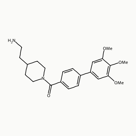 COc1cc(-c2ccc(C(=O)N3CCC(CCN)CC3)cc2)cc(OC)c1OC